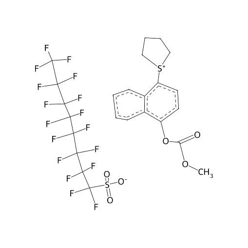 COC(=O)Oc1ccc([S+]2CCCC2)c2ccccc12.O=S(=O)([O-])C(F)(F)C(F)(F)C(F)(F)C(F)(F)C(F)(F)C(F)(F)C(F)(F)C(F)(F)F